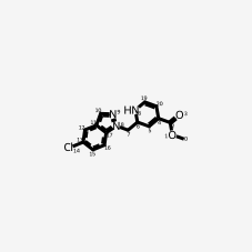 COC(=O)C1=CC(Cn2ncc3cc(Cl)ccc32)NC=C1